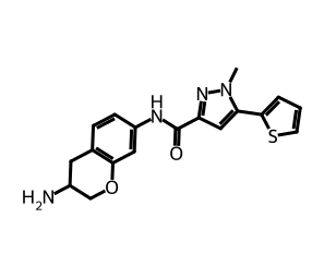 Cn1nc(C(=O)Nc2ccc3c(c2)OCC(N)C3)cc1-c1cccs1